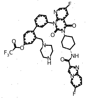 O=C(N[C@H]1CC[C@@H](n2c(=O)c3cc(F)cnc3n(-c3cccc(-c4ccc(OC(=O)C(F)(F)F)cc4CN4CCNCC4)c3)c2=O)CC1)c1cn2cc(F)ccc2n1